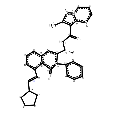 C[C@@H](NC(=O)c1c(N)nn2cccnc12)c1cc2cccc(/C=C/C3CCCC3)c2c(=O)n1-c1ccccc1